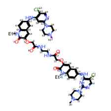 CCn1c(=O)c(OCC(=O)NCCNC(=O)COc2cc3cc(Nc4nc(N5CCN(C)CC5)ncc4Cl)ccc3n(CC)c2=O)cc2cc(Nc3cc(N4CCN(I)CC4)ncc3Cl)ccc21